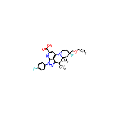 CCOCC1(F)CCN(c2cc(C(=O)O)nc3c2c(C(C)C)nn3-c2ccc(F)cc2)CC1